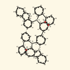 c1ccc(-c2ccccc2N(c2cccc(-c3cccc(N(c4ccccc4-c4ccccc4)c4cccc5c4oc4ccccc45)c3)c2)c2cccc3c2oc2ccccc23)cc1